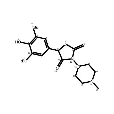 C=C1SC(c2cc(C(C)(C)C)c(O)c(C(C)(C)C)c2)C(=O)N1N1CCN(C)CC1